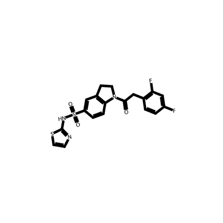 O=C(Cc1ccc(F)cc1F)N1CCc2cc(S(=O)(=O)Nc3nccs3)ccc21